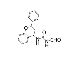 O=CNC(=O)NC1CC(c2ccccc2)Oc2ccccc21